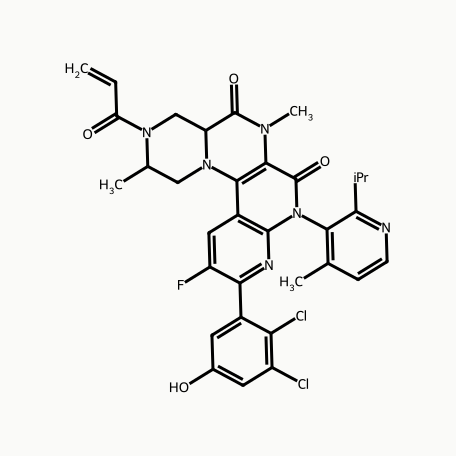 C=CC(=O)N1CC2C(=O)N(C)c3c(c4cc(F)c(-c5cc(O)cc(Cl)c5Cl)nc4n(-c4c(C)ccnc4C(C)C)c3=O)N2CC1C